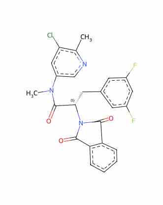 Cc1ncc(N(C)C(=O)[C@H](Cc2cc(F)cc(F)c2)N2C(=O)c3ccccc3C2=O)cc1Cl